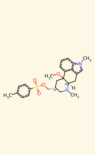 COC12C[C@@H](COS(=O)(=O)c3ccc(C)cc3)CN(C)[C@@H]1Cc1cn(C)c3cccc2c13